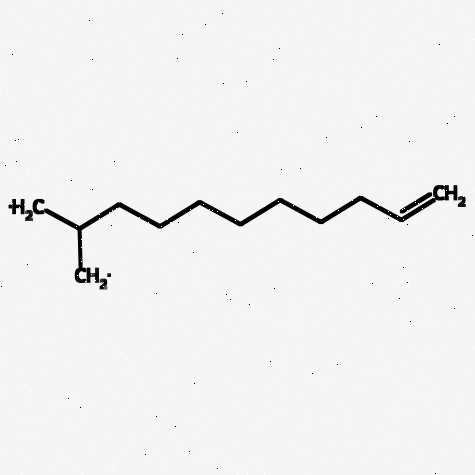 [CH2]C([CH2])CCCCCCCC=C